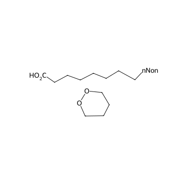 C1CCOOC1.CCCCCCCCCCCCCCCCC(=O)O